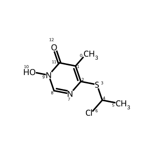 Cc1c(SC(C)Cl)ncn(O)c1=O